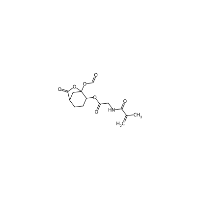 C=C(C)C(=O)NCC(=O)OC1CCC2CC1(OC=O)OC2=O